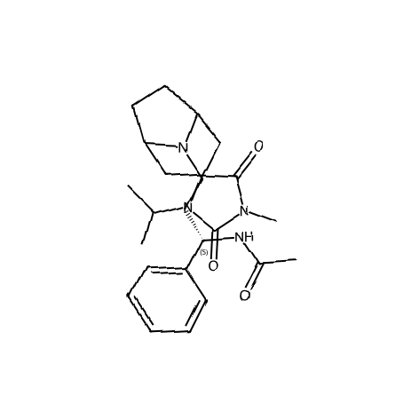 CC(=O)N[C@@H](CCN1C2CCC1CC1(C2)C(=O)N(C)C(=O)N1C(C)C)c1ccccc1